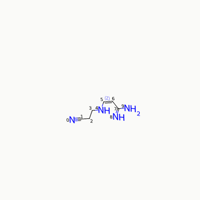 N#CCCN/C=C\C(=N)N